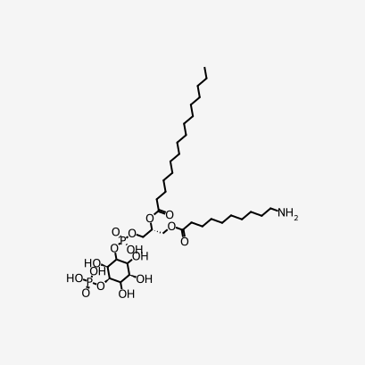 CCCCCCCCCCCCCCCC(=O)O[C@H](COC(=O)CCCCCCCCCN)COP(=O)(O)OC1C(O)[C@@H](O)C(O)[C@@H](OP(=O)(O)O)[C@H]1O